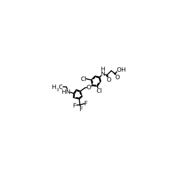 CCNc1cc(COc2c(Cl)cc(NC(=O)CC(=O)O)cc2Cl)cc(C(F)(F)F)c1